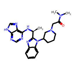 C[C@H](Nc1ncnc2[nH]cnc12)c1nc2ccccc2n1C1CCCN(CC(=O)N(C)C)C1